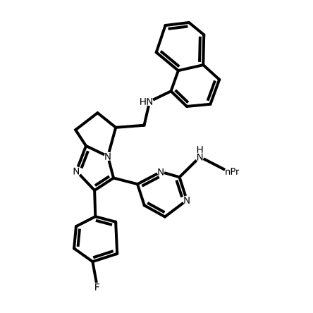 CCCNc1nccc(-c2c(-c3ccc(F)cc3)nc3n2C(CNc2cccc4ccccc24)CC3)n1